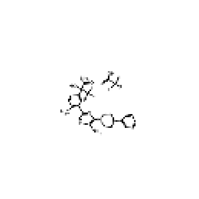 Cc1ccc(C(O)(C(N)=O)C(F)(F)F)cc1-c1cnc(N)c(N2CCN(c3ccccc3)CC2)n1.O=C(O)C(F)(F)F